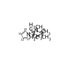 CN([Si](C)(C)C)[Si](C)(C)n1cccc1